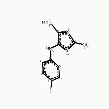 Cc1nc(C(=O)O)c(Nc2ccc(F)cc2)s1